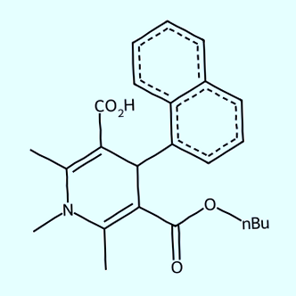 CCCCOC(=O)C1=C(C)N(C)C(C)=C(C(=O)O)C1c1cccc2ccccc12